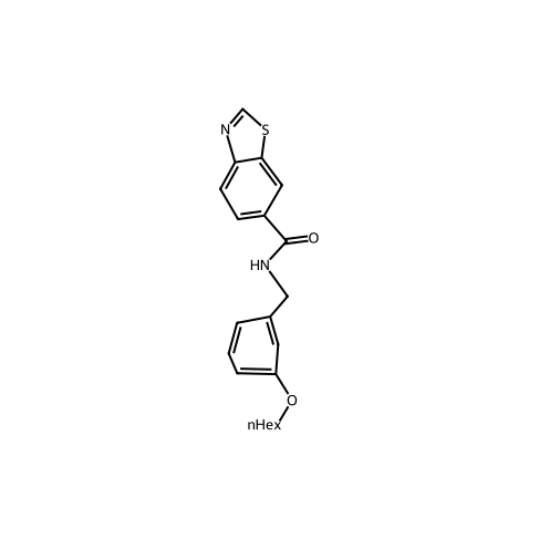 CCCCCCOc1cccc(CNC(=O)c2ccc3ncsc3c2)c1